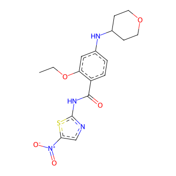 CCOc1cc(NC2CCOCC2)ccc1C(=O)Nc1ncc([N+](=O)[O-])s1